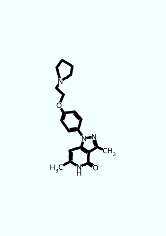 Cc1cc2c(c(C)nn2-c2ccc(OCCN3CCCC3)cc2)c(=O)[nH]1